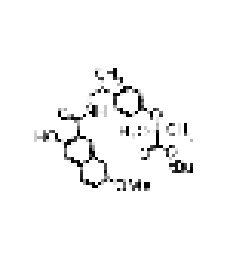 COc1ccc2cc(O)c(C(=O)NCC(C)c3ccc(OC(C)(C)C(=O)OC(C)(C)C)cc3)cc2c1